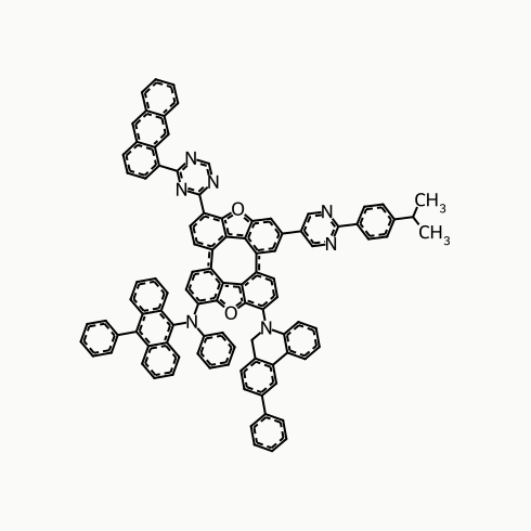 CC(C)c1ccc(-c2ncc(-c3cc4oc5c(-c6ncnc(-c7cccc8cc9ccccc9cc78)n6)ccc6c7ccc(N(c8ccccc8)c8c9ccccc9c(-c9ccccc9)c9ccccc89)c8oc9c(N%10Cc%11ccc(-c%12ccccc%12)cc%11-c%11ccccc%11%10)ccc(c(c3)c4c56)c9c87)cn2)cc1